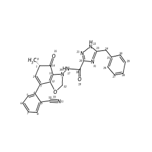 C[C@H]1C=C(c2ccccc2C#N)C2=C(C1=O)N(NC(=O)c1n[nH]c(Cc3ccccc3)n1)CO2